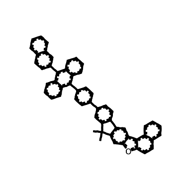 CC1(C)c2cc(-c3ccc(-c4c5ccccc5c(-c5ccc6ccccc6c5)c5ccccc45)cc3)ccc2-c2cc3c(cc21)oc1ccc2ccccc2c13